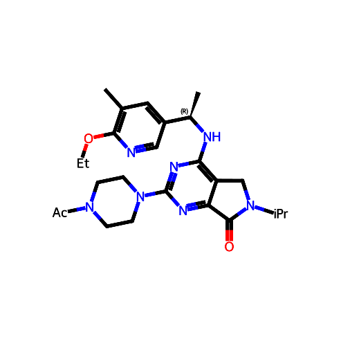 CCOc1ncc([C@@H](C)Nc2nc(N3CCN(C(C)=O)CC3)nc3c2CN(C(C)C)C3=O)cc1C